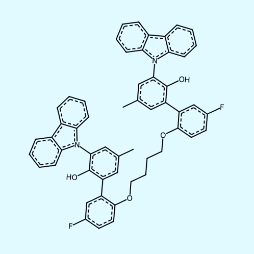 Cc1cc(-c2cc(F)ccc2OCCCCOc2ccc(F)cc2-c2cc(C)cc(-n3c4ccccc4c4ccccc43)c2O)c(O)c(-n2c3ccccc3c3ccccc32)c1